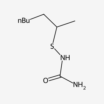 CCCCCC(C)SNC(N)=O